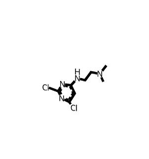 CN(C)CCNc1cc(Cl)nc(Cl)n1